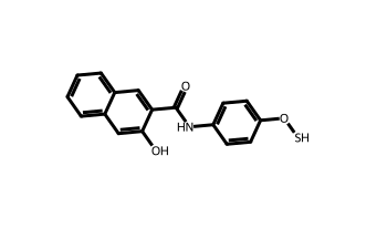 O=C(Nc1ccc(OS)cc1)c1cc2ccccc2cc1O